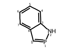 [c]1p[nH]c2ccccc12